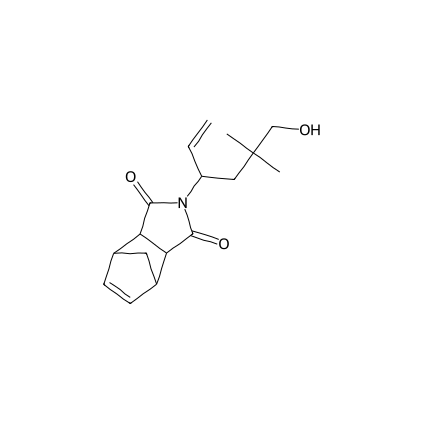 C=CC(CC(C)(C)CO)N1C(=O)C2C3C=CC(C3)C2C1=O